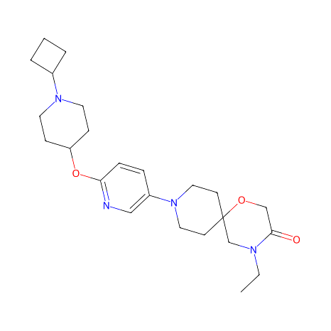 CCN1CC2(CCN(c3ccc(OC4CCN(C5CCC5)CC4)nc3)CC2)OCC1=O